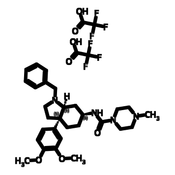 COc1ccc([C@@]23CC[C@H](NC(=O)N4CCN(C)CC4)C[C@@H]2N(Cc2ccccc2)CC3)cc1OC.O=C(O)C(F)(F)F.O=C(O)C(F)(F)F